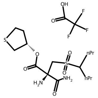 CCCC(CCC)S(=O)(=O)C[C@](N)(C(N)=O)C(=O)O[C@H]1CCSC1.O=C(O)C(F)(F)F